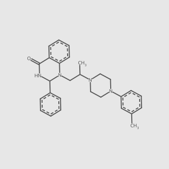 Cc1cccc(N2CCN(C(C)CN3c4ccccc4C(=O)NC3c3ccccc3)CC2)c1